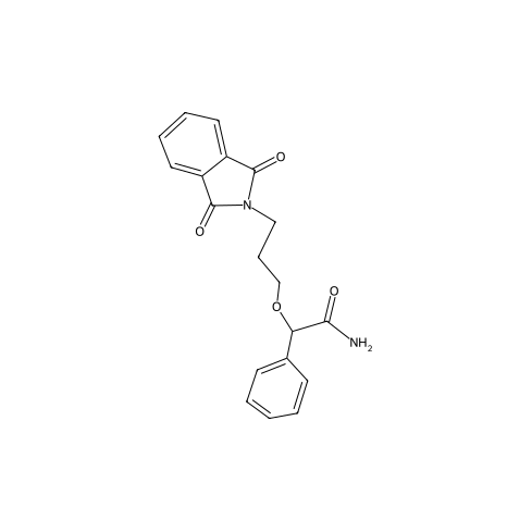 NC(=O)C(OCCCN1C(=O)c2ccccc2C1=O)c1ccccc1